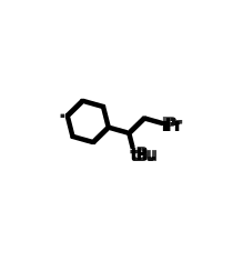 CC(C)CC(C1CC[CH]CC1)C(C)(C)C